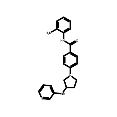 Nc1ccccc1NC(=O)c1ccc(N2CCC(Nc3cccnc3)C2)cc1